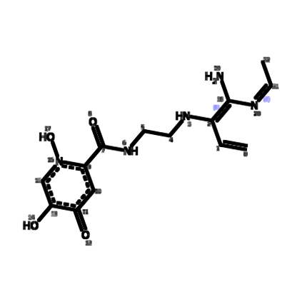 C=C/C(NCCNC(=O)c1cc(=O)c(O)cn1O)=C(N)\N=C/C